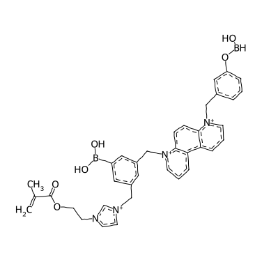 C=C(C)C(=O)OCCn1cc[n+](Cc2cc(C[n+]3cccc4c5ccc[n+](Cc6cccc(OBO)c6)c5ccc43)cc(B(O)O)c2)c1